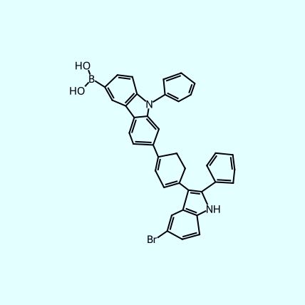 OB(O)c1ccc2c(c1)c1ccc(C3=CC=C(c4c(-c5ccccc5)[nH]c5ccc(Br)cc45)CC3)cc1n2-c1ccccc1